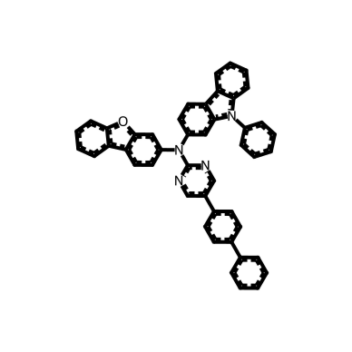 c1ccc(-c2ccc(-c3cnc(N(c4ccc5c(c4)oc4ccccc45)c4ccc5c6ccccc6n(-c6ccccc6)c5c4)nc3)cc2)cc1